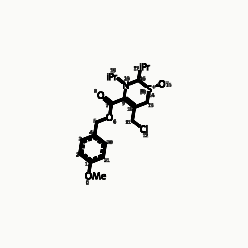 COc1ccc(COC(=O)C2=C(CCl)C[S@+]([O-])C(C(C)C)N2C(C)C)cc1